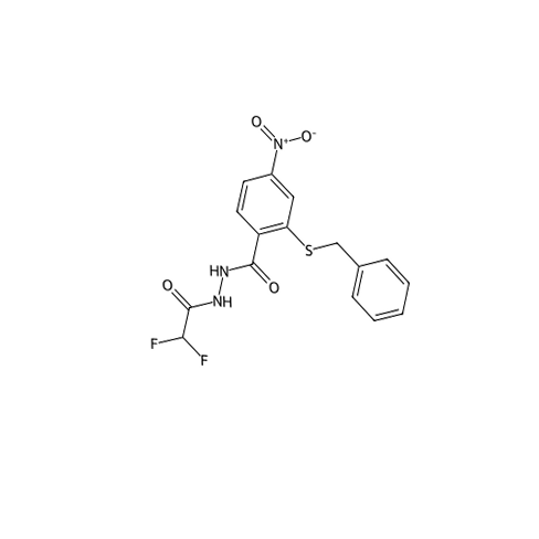 O=C(NNC(=O)C(F)F)c1ccc([N+](=O)[O-])cc1SCc1ccccc1